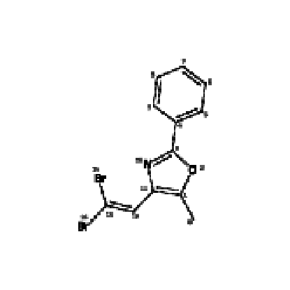 Cc1oc(-c2ccccc2)nc1C=C(Br)Br